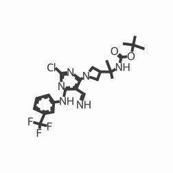 CC(C)(C)OC(=O)NC(C)(C)C1CN(c2nc(Cl)nc(Nc3cccc(C(F)(F)F)c3)c2C=N)C1